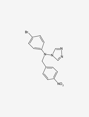 O=[N+]([O-])c1ccc(CN(c2ccc(Br)cc2)n2cnnc2)cc1